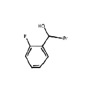 CC(C)C(O)c1ccccc1F